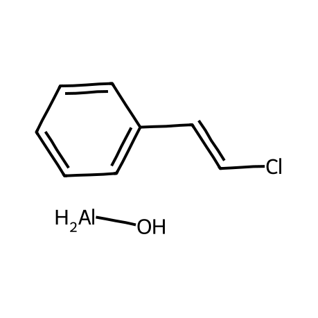 ClC=Cc1ccccc1.[OH][AlH2]